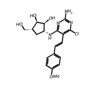 COc1ccc(/C=C/c2c(Cl)nc(N)nc2N[C@@H]2C[C@H](CO)[C@@H](O)[C@H]2O)cc1